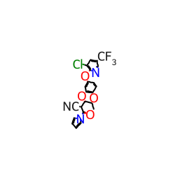 CC(Oc1ccc(Oc2ncc(C(F)(F)F)cc2Cl)cc1)C(=O)C(C#N)C(=O)n1cccc1